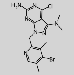 Cc1cnc(Cn2nc(N(C)C)c3c(Cl)nc(N)nc32)c(C)c1Br